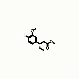 CC[C@H](CC(=O)OC)c1ccc(F)c(OC)c1